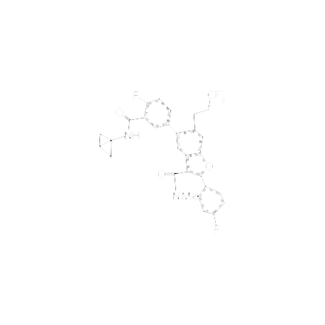 CNC(=O)c1c(-c2ccc(F)cc2)oc2cc(CCC(F)(F)F)c(-c3ccc(F)c(C(=O)NC45CC4C5)c3)cc12